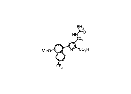 BC(=O)N[C@@H](C)c1oc(-c2ccc(OC)c3nc(C(F)(F)F)ccc23)nc1C(=O)O